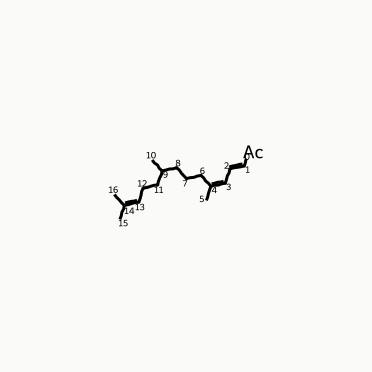 CC(=O)C=CC=C(C)CCCC(C)CCC=C(C)C